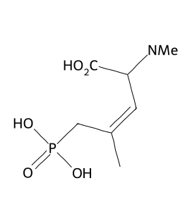 CNC(C=C(C)CP(=O)(O)O)C(=O)O